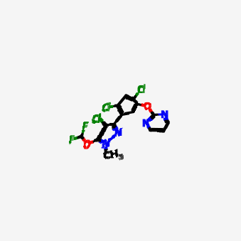 Cn1nc(-c2cc(Oc3ncccn3)c(Cl)cc2Cl)c(Cl)c1OC(F)F